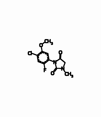 COc1cc(N2C(=O)CN(C)C2=O)c(F)cc1Cl